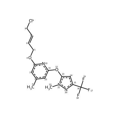 Cc1cc(OC/C=C/CCl)nc(Oc2cc(C(F)(F)F)nn2C)c1